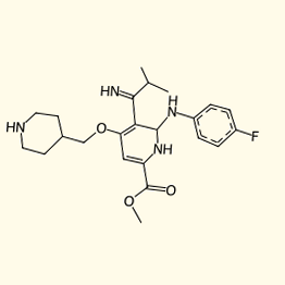 COC(=O)C1=CC(OCC2CCNCC2)=C(C(=N)C(C)C)C(Nc2ccc(F)cc2)N1